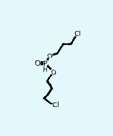 O=[PH](OCCCCl)OCCCCl